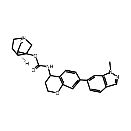 Cn1ncc2ccc(-c3ccc4c(c3)OCCC4NC(=O)O[C@@H]3CN4CCC3CC4)cc21